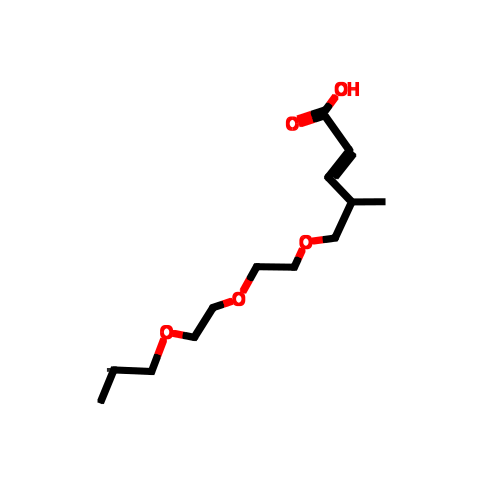 C[CH]COCCOCCOCC(C)C=CC(=O)O